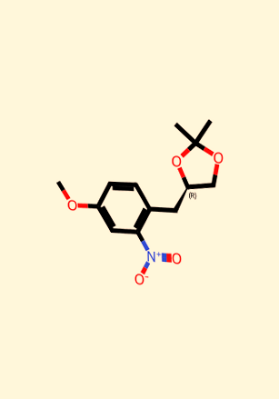 COc1ccc(C[C@@H]2COC(C)(C)O2)c([N+](=O)[O-])c1